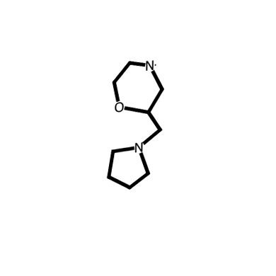 C1CCN(CC2C[N]CCO2)C1